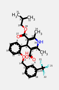 CC1=C(C(=O)O)C(c2ccccc2OCc2cccc(C(F)(F)F)c2)C(C(=O)OCC(C)C)=C(C)N1